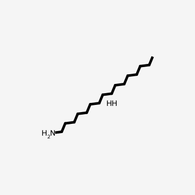 CCCCCCCCCCCCCCCCN.[HH]